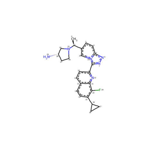 C[C@@H](c1ccc2nnc(-c3ccc4ccc(C5CC5)c(F)c4n3)n2c1)N1CC[C@H](N)C1